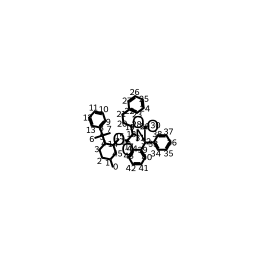 CC1CCC(C(C)(C)c2ccccc2)C(OC(=O)C2C(CCc3ccccc3)OC(=O)N2C(c2ccccc2)c2ccccc2)C1